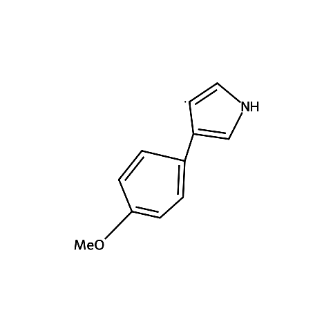 COc1ccc(-c2[c]c[nH]c2)cc1